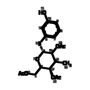 CC(=O)OCC1O[C@H](Sc2cccc(O)c2)C(OC(C)=O)C(C)[C@H]1OC(C)=O